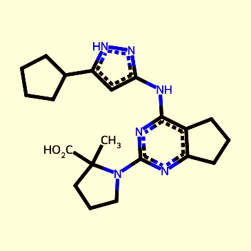 CC1(C(=O)O)CCCN1c1nc2c(c(Nc3cc(C4CCCC4)[nH]n3)n1)CCC2